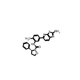 Cc1ccc(-c2ccc3nc(N)sc3n2)cc1NC(=O)N1OCC[C@H]1c1ccccc1